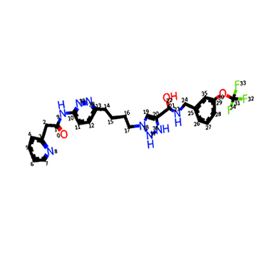 O=C(Cc1ccccn1)Nc1ccc(CCCCN2C=C(C(O)NCc3cccc(OC(F)(F)F)c3)NN2)nn1